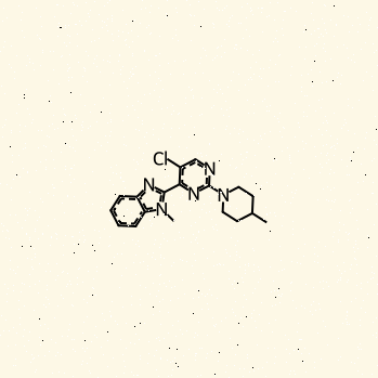 CC1CCN(c2ncc(Cl)c(-c3nc4ccccc4n3C)n2)CC1